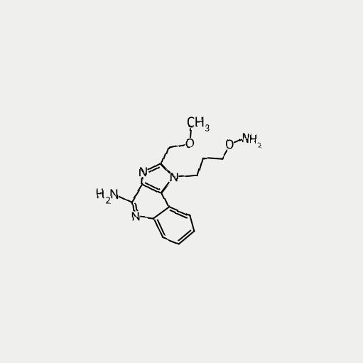 COCc1nc2c(N)nc3ccccc3c2n1CCCON